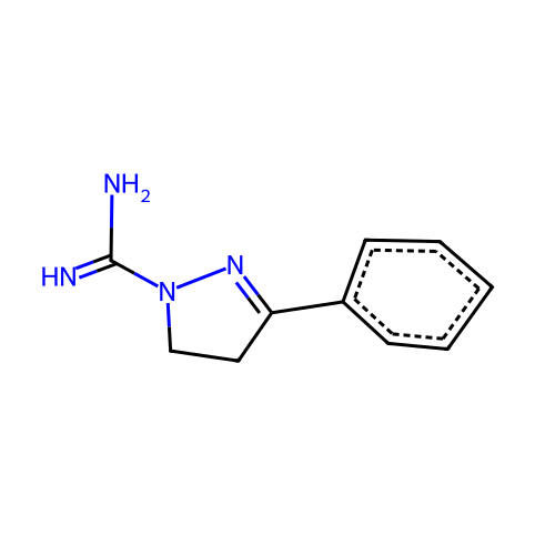 N=C(N)N1CCC(c2ccccc2)=N1